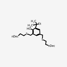 CCCCCCCCCCCCSCc1cc(CSCCCCCCCCCCCC)c(O)c(C(C)(C)CC)c1